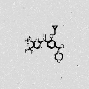 CNc1nc(Nc2ccc(C(=O)N3CCOCC3)cc2OCC2CC2)ncc1C(F)(F)F